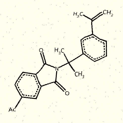 C=C(C)c1cccc(C(C)(C)N2C(=O)c3ccc(C(C)=O)cc3C2=O)c1